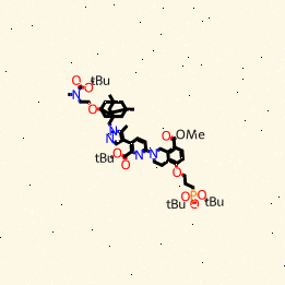 COC(=O)c1ccc(OCCCP(=O)(OC(C)(C)C)OC(C)(C)C)c2c1CN(c1ccc(-c3cnn(CC45CC6(C)CC(C)(C4)CC(OCCN(C)C(=O)OC(C)(C)C)(C6)C5)c3C)c(C(=O)OC(C)(C)C)n1)CC2